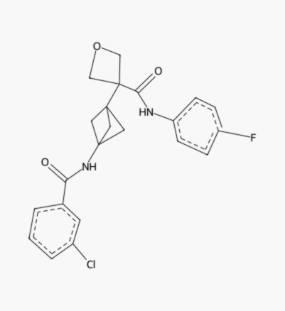 O=C(NC12CC(C3(C(=O)Nc4ccc(F)cc4)COC3)(C1)C2)c1cccc(Cl)c1